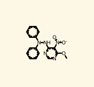 COc1ncnc(NN(c2ccccc2)c2ccccc2)c1[N+](=O)[O-]